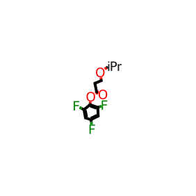 CC(C)OCCC(=O)Oc1c(F)cc(F)cc1F